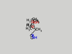 CO[C@H](C)CC(CCCC(C)C(O)OC(C)(C)C)C(C)CCCCC1=CCC2CCCNC2=N1